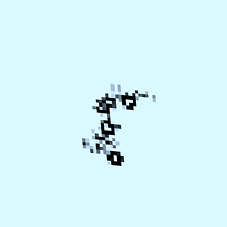 COc1cccc(Nc2cc3nccc(Oc4ccc(C(C(N)=O)C(=O)Nc5ccccc5)cc4F)c3s2)c1